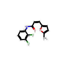 Cc1ccc(/C=C\C(=O)Nc2cccc(Cl)c2Cl)o1